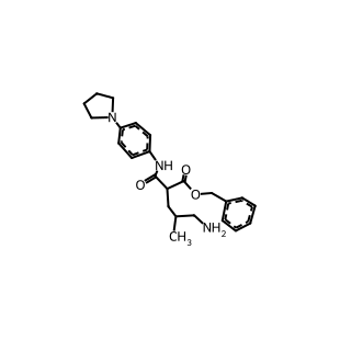 CC(CN)CC(C(=O)Nc1ccc(N2CCCC2)cc1)C(=O)OCc1ccccc1